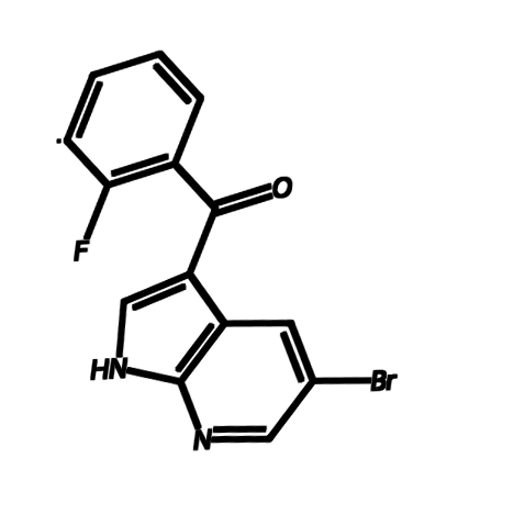 O=C(c1ccc[c]c1F)c1c[nH]c2ncc(Br)cc12